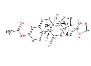 CC(=O)OC1=CC2=CC[C@H]3[C@@H]4CC[C@H](C5(C)OCCO5)[C@@]4(C)CC(=O)[C@@H]3[C@@]2(C)CC1